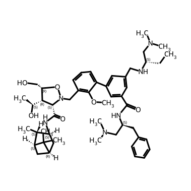 CC[C@@H](CN(C)C)NCc1cc(C(=O)N[C@@H](Cc2ccccc2)CN(C)C)cc(-c2cccc(CN3O[C@@H](CO)[C@@H]([C@H](C)O)[C@H]3C(=O)N[C@H]3C[C@H]4C[C@@H]([C@@H]3C)C4(C)C)c2OC)c1